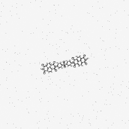 CN1C(=O)c2ccc3c4c(ccc(c24)C1=O)C(=O)N(c1ccc(S(=O)(=O)c2ccc(N4C(=O)c5ccc6c7c(ccc(c57)C4=O)C(=O)N(C)C6=O)cc2)cc1)C3=O